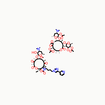 CC[C@@H]1OC(=O)[C@H](C)C(=O)[C@H](C)[C@@H](O[C@@H]2O[C@H](C)C[C@H](N(C)C)[C@H]2O)[C@@](C)(OC)C[C@@H](C)C(=O)[C@@H](C)[C@H]2N(CCCCn3cnc(-c4cccnc4)c3)C(=O)O[C@]12C.CO[C@H]1C[C@H](O[C@H]2[C@H](C)[C@@H](O[C@@H]3O[C@H](C)C[C@H](N(C)C)[C@H]3OC(C)=O)[C@@H](C)C[C@@]3(CO3)C(=O)[C@H](C)[C@@H](OC(C)=O)[C@@H](C)[C@@H](C)OC(=O)[C@@H]2C)O[C@@H](C)[C@@H]1OC(C)=O